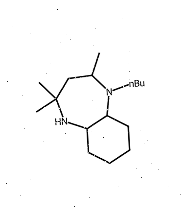 CCCCN1C(C)CC(C)(C)NC2CCCCC21